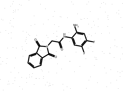 Nc1cc(F)c(F)cc1NC(=O)CN1C(=O)c2ccccc2C1=O